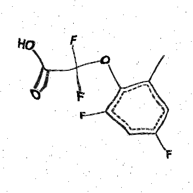 Cc1cc(F)cc(F)c1OC(F)(F)C(=O)O